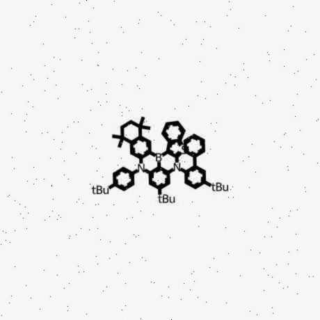 CC(C)(C)c1ccc(N2c3cc4c(cc3B3c5c2cc(C(C)(C)C)cc5N(c2ccc(C(C)(C)C)cc2-c2ccccc2)c2sc5ccccc5c23)C(C)(C)CCC4(C)C)cc1